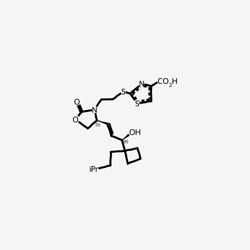 CC(C)CCC1([C@H](O)C=C[C@H]2COC(=O)N2CCSc2nc(C(=O)O)cs2)CCC1